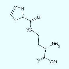 N[C@@H](CCNC(=O)c1nccs1)C(=O)O